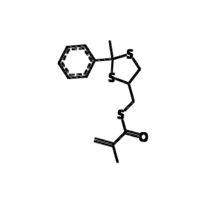 C=C(C)C(=O)SCC1CSC(C)(c2ccccc2)S1